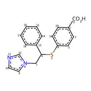 O=C(O)c1ccc(SC(Cn2ccnc2)c2ccccc2)cc1